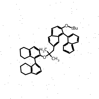 CC(C)(C)Oc1ccc2ccc(CC(C)(C)Oc3ccc4c(c3-c3cccc5c3CCCC5)CCCC4)cc2c1-c1cccc2ccccc12